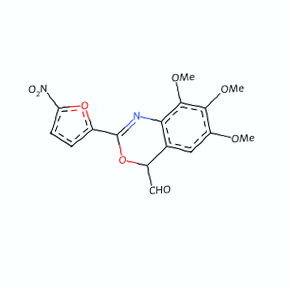 COc1cc2c(c(OC)c1OC)N=C(c1ccc([N+](=O)[O-])o1)OC2C=O